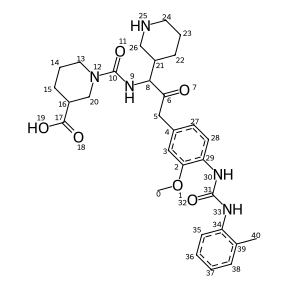 COc1cc(CC(=O)C(NC(=O)N2CCCC(C(=O)O)C2)C2CCCNC2)ccc1NC(=O)Nc1ccccc1C